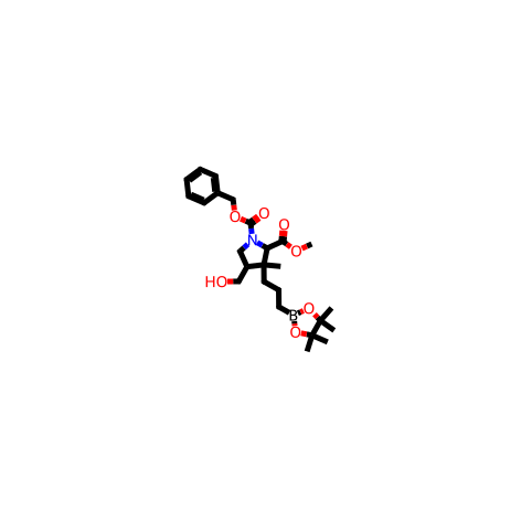 COC(=O)C1N(C(=O)OCc2ccccc2)CC(CO)C1(C)CCCB1OC(C)(C)C(C)(C)O1